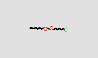 CCCCCCCCOCCOCCCCCCCl